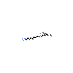 CC(C)CCCNCCCCCCCCCN